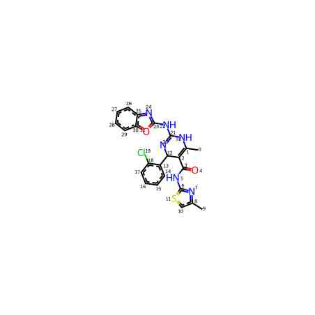 CC1=C(C(=O)Nc2nc(C)cs2)C(c2ccccc2Cl)N=C(Nc2nc3ccccc3o2)N1